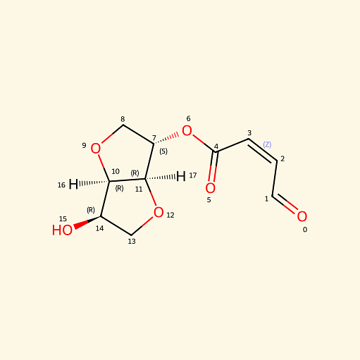 O=C/C=C\C(=O)O[C@H]1CO[C@H]2[C@@H]1OC[C@H]2O